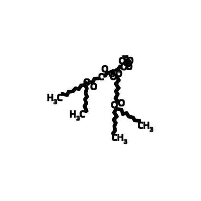 CCCCCCCCC(CCCCCCCC)OC(=O)CCCCCCC(=O)O[C@@H](COC(=O)CCCCC(=O)OC(CCCCCCCC)CCCCCCCC)COP1(=O)OCCO1